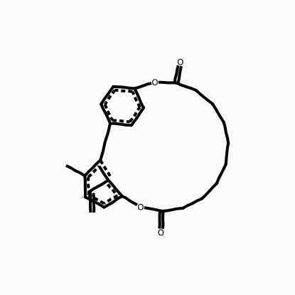 [CH]=Cc1c2c[c]c(C)c1-c1ccc(cc1)OC(=O)CCCCCCCCC(=O)O2